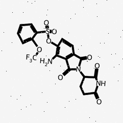 Nc1c(OS(=O)(=O)c2ccccc2OC(F)(F)F)ccc2c1C(=O)N(C1CCC(=O)NC1=O)C2=O